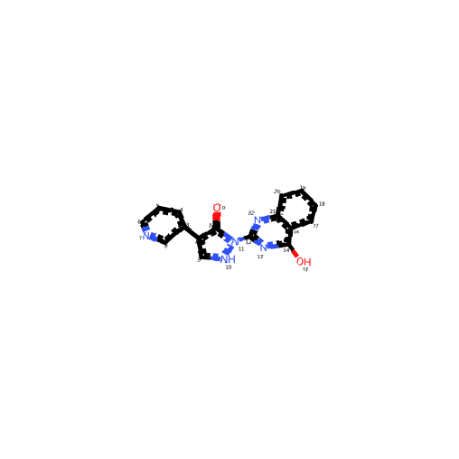 O=c1c(-c2cccnc2)c[nH]n1-c1nc(O)c2ccccc2n1